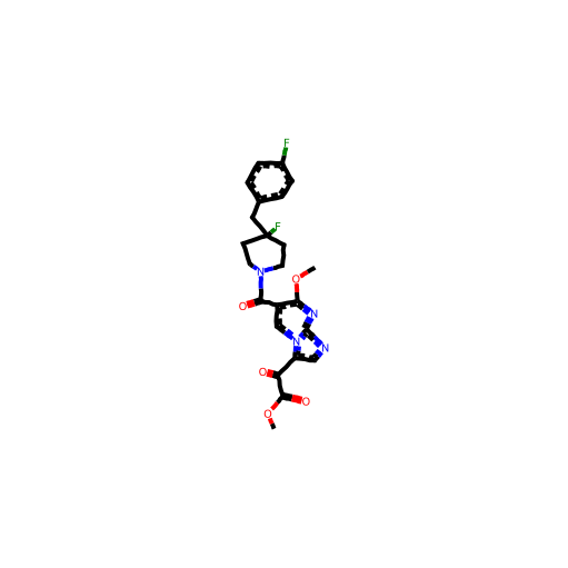 COC(=O)C(=O)c1cnc2nc(OC)c(C(=O)N3CCC(F)(Cc4ccc(F)cc4)CC3)cn12